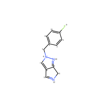 Fc1ccc(Cn2cc3c(n2)CN=C3)cc1